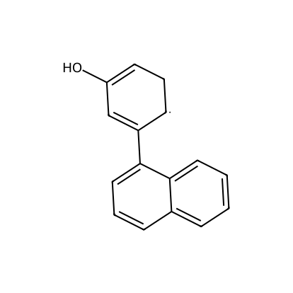 OC1=CC[CH]C(c2cccc3ccccc23)=C1